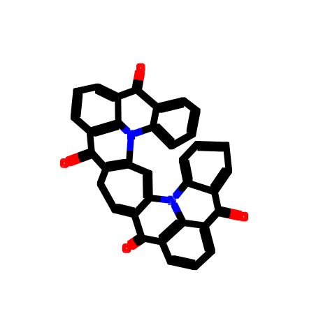 O=c1c2c(n3c4ccccc4c(=O)c4cccc1c43)C=c1c(c(=O)c3cccc4c(=O)c5ccccc5n1c34)=CC2